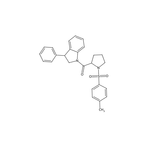 Cc1ccc(S(=O)(=O)N2CCCC2C(=O)N2CC(c3ccccc3)c3ccccc32)cc1